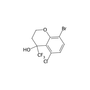 OC1(C(F)(F)F)CCOc2c(Br)ccc(Cl)c21